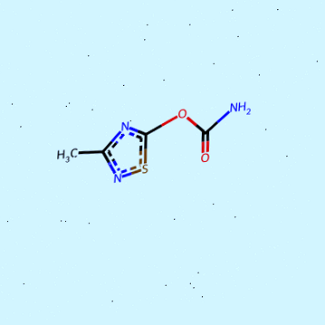 Cc1nsc(OC(N)=O)n1